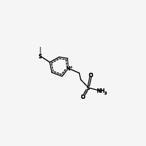 CSc1cc[n+](CCS(N)(=O)=O)cc1